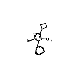 Cn1c(C2CCC2)nc(Br)c1-c1ccccc1